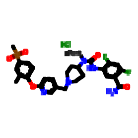 CCCCCN(C(=O)Nc1cc(C(N)=O)c(F)cc1F)C1CCN(Cc2ccc(Oc3ccc(S(C)(=O)=O)cc3C)nc2)CC1.Cl